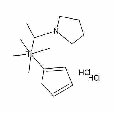 C[CH](N1CCCC1)[Ti]([CH3])([CH3])([CH3])([CH3])[C]1=CC=CC1.Cl.Cl